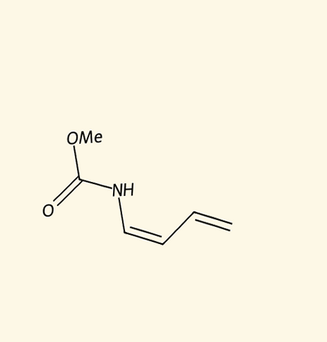 C=C/C=C\NC(=O)OC